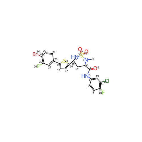 CN1C(C(=O)Nc2ccc(F)c(Cl)c2)CC(c2ccc(-c3ccc(Br)c(F)c3)s2)NS1(=O)=O